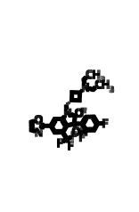 CCN(CC)[C@H]1C[C@H](CN2C(=O)[C@](O)(c3c(F)cc(F)cc3F)c3c2cc(-c2ncco2)cc3C(F)(F)F)C1